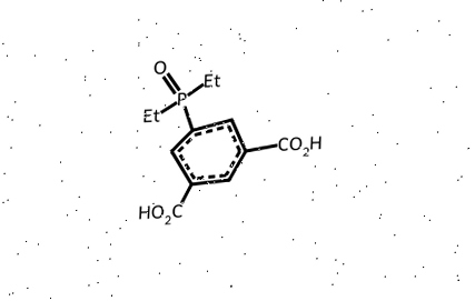 CCP(=O)(CC)c1cc(C(=O)O)cc(C(=O)O)c1